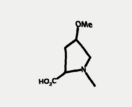 COC1CC(C(=O)O)N(C)C1